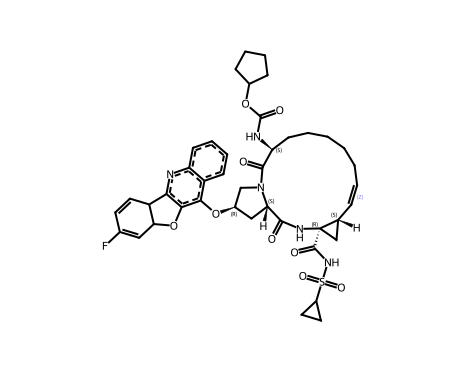 O=C(N[C@H]1CCCCC/C=C\[C@@H]2C[C@@]2(C(=O)NS(=O)(=O)C2CC2)NC(=O)[C@@H]2C[C@@H](Oc3c4c(nc5ccccc35)C3C=CC(F)=CC3O4)CN2C1=O)OC1CCCC1